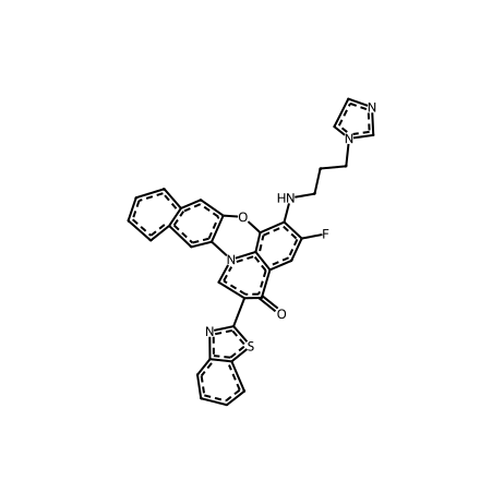 O=c1c(-c2nc3ccccc3s2)cn2c3c(c(NCCCn4ccnc4)c(F)cc13)Oc1cc3ccccc3cc1-2